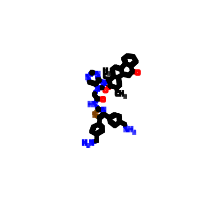 CC1C=c2c(ccc3c2=CC(=O)c2ccccc2-3)C(C)(N2CN(CC(=O)Nc3nc(-c4ccc(CN)cc4)c(-c4ccc(CN)cc4)s3)c3cncnc32)C1=O